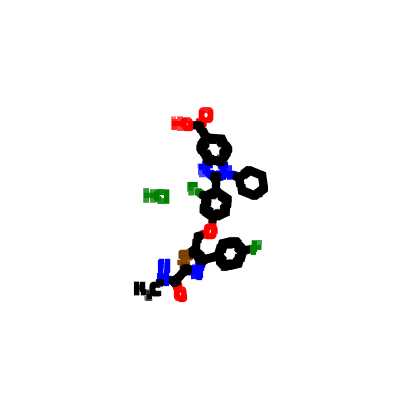 CNC(=O)c1nc(-c2ccc(F)cc2)c(COc2ccc(-c3nc4cc(C(=O)O)ccc4n3C3CCCCC3)c(F)c2)s1.Cl